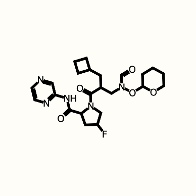 O=CN(CC(CC1CCC1)C(=O)N1CC(F)CC1C(=O)Nc1cnccn1)OC1CCCCO1